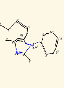 CC/C=C\c1c(C)nc(C)n1C1=CC=CCC1